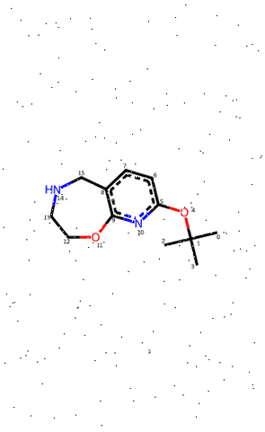 CC(C)(C)Oc1ccc2c(n1)OCCNC2